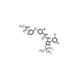 CNC(=O)c1cc(Oc2ccc(NC(=O)Nc3cc(CC(C)(C)C)nn3-c3cc(F)cc(F)c3)c(F)c2)ccn1